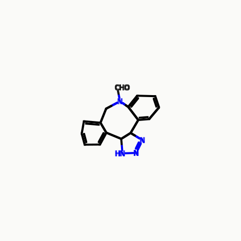 O=CN1Cc2ccccc2C2NN=NC2c2ccccc21